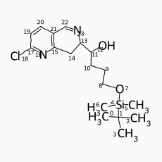 CC(C)(C)[Si](C)(C)OCCCC(O)C1Cc2nc(Cl)ccc2C=N1